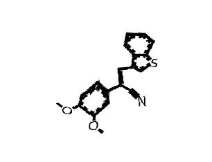 COc1ccc(C(C#N)=Cc2csc3ccccc23)cc1OC